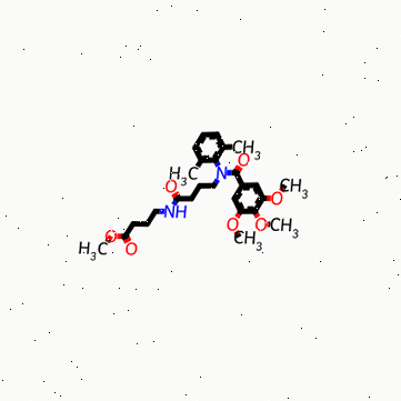 COC(=O)CCCNC(=O)CCCN(C(=O)c1cc(OC)c(OC)c(OC)c1)c1c(C)cccc1C